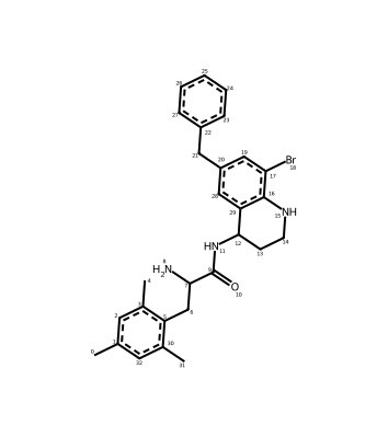 Cc1cc(C)c(CC(N)C(=O)NC2CCNc3c(Br)cc(Cc4ccccc4)cc32)c(C)c1